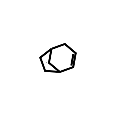 [CH]1C2C=CCC1CC2